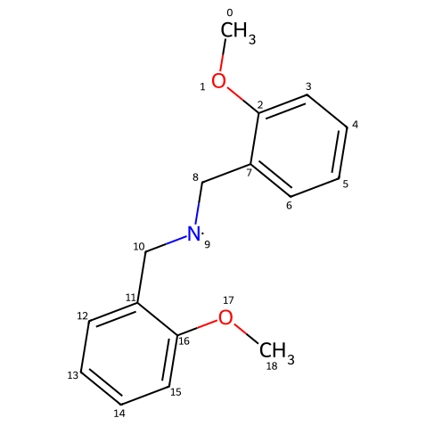 COc1ccccc1C[N]Cc1ccccc1OC